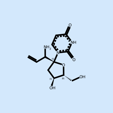 C=CC(N)[C@]1(n2ccc(=O)[nH]c2=O)C[C@H](O)[C@@H](CO)O1